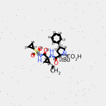 C=C[C@@H]1C[C@]1(NC(=O)[C@@]1(C(C)(C)C)C[C@@H](c2ccccc2)CN1C(=O)O)C(=O)NS(=O)(=O)C1CC1